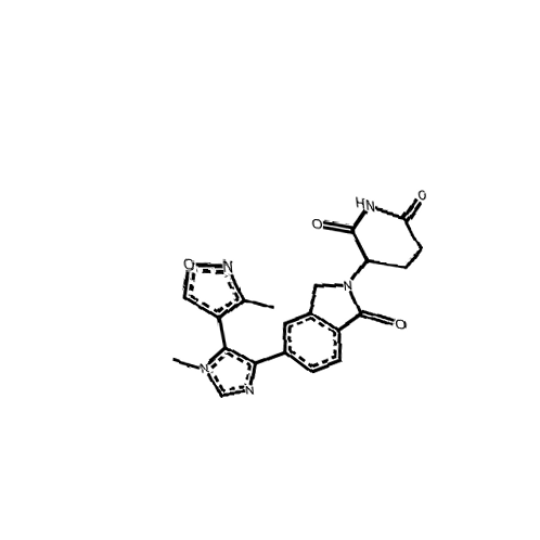 Cc1nocc1-c1c(-c2ccc3c(c2)CN(C2CCC(=O)NC2=O)C3=O)ncn1C